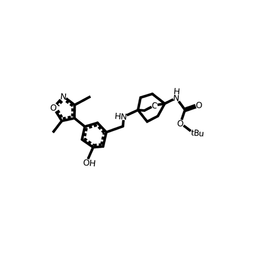 Cc1noc(C)c1-c1cc(O)cc(CNC23CCC(NC(=O)OC(C)(C)C)(CC2)CC3)c1